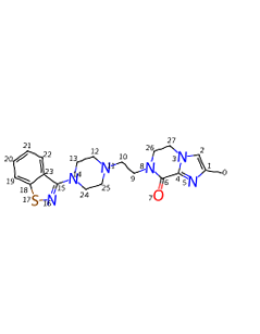 Cc1cn2c(n1)C(=O)N(CCN1CCN(c3nsc4ccccc34)CC1)CC2